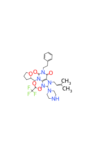 CC(C)=CCN1c2c(n(CC3CCCO3)c(=O)n(CCc3ccccc3)c2=O)N(OC(=O)C(F)(F)F)C1N1CCNCC1